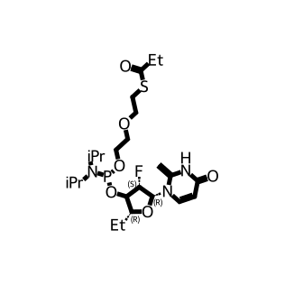 C=C1NC(=O)C=CN1[C@@H]1O[C@H](CC)C(OP(OCCOCCSC(=O)CC)N(C(C)C)C(C)C)[C@@H]1F